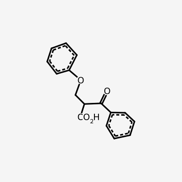 O=C(O)C(COc1ccccc1)C(=O)c1ccccc1